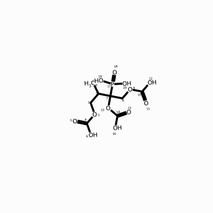 CC(COC(=O)O)C(COC(=O)O)(OC(=O)O)P(=O)(O)O